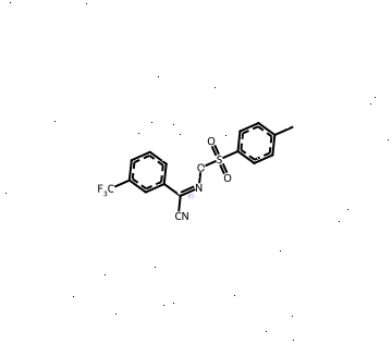 Cc1ccc(S(=O)(=O)O/N=C(/C#N)c2cccc(C(F)(F)F)c2)cc1